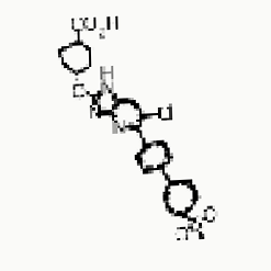 CS(=O)(=O)c1ccc(-c2ccc(-c3nc4nc(O[C@H]5CC[C@H](C(=O)O)CC5)[nH]c4cc3Cl)cc2)cc1